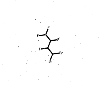 FC(F)C(F)C(F)C(Br)Br